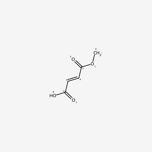 [CH2]OC(=O)/C=C/C(=O)O